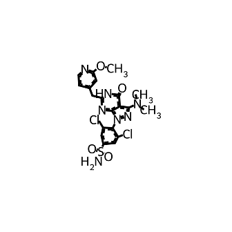 COc1cc(Cc2nc3c(c(N(C)C)nn3-c3c(Cl)cc(S(N)(=O)=O)cc3Cl)c(=O)[nH]2)ccn1